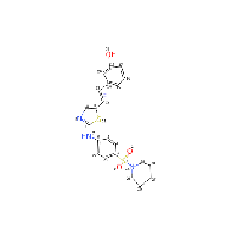 O=S(=O)(c1ccc(Nc2ncc(/C=C/c3cccc(O)c3)s2)cc1)N1CCCCC1